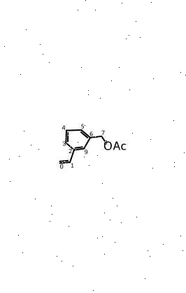 C=Cc1cccc(COC(C)=O)c1